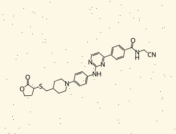 N#CCNC(=O)c1ccc(-c2ccnc(Nc3ccc(N4CCC(CSC5CCOC5=O)CC4)cc3)n2)cc1